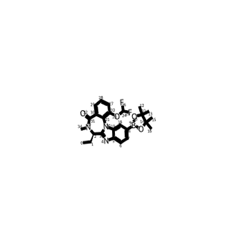 CC[C@@H]1c2nc3ccc(B4OC(C)(C)C(C)(C)O4)cc3n2-c2c(OC(F)F)cccc2C(=O)N1C